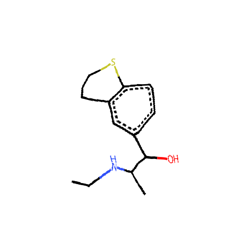 CCNC(C)C(O)c1ccc2c(c1)CCS2